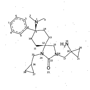 CN(C)[C@]1(c2ccccc2)CC[C@@]2(CC1)CN(CC1(N)CC1)C(=O)N2CC1CC1